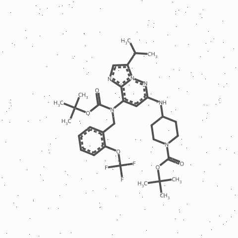 CC(C)c1cnc2c(N(Cc3ccccc3OC(F)(F)F)C(=O)OC(C)(C)C)cc(NC3CCN(C(=O)OC(C)(C)C)CC3)nn12